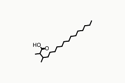 CCCCCCCCCCCCCCC(C)C(C)C(=O)O